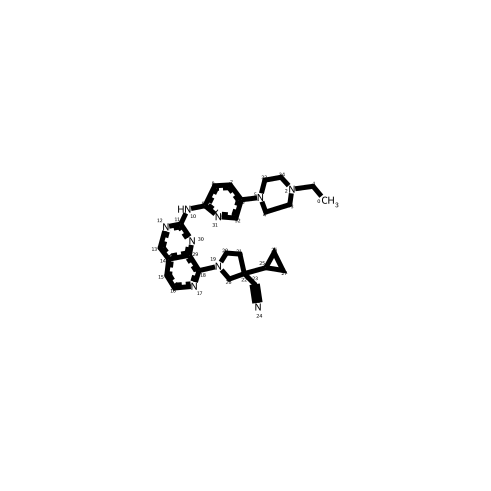 CCN1CCN(c2ccc(Nc3ncc4ccnc(N5CCC(C#N)(C6CC6)C5)c4n3)nc2)CC1